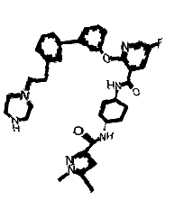 Cc1cc(C(=O)N[C@H]2CC[C@H](NC(=O)c3cc(F)cnc3Oc3cccc(-c4cccc(CCN5CCNCC5)c4)c3)CC2)nn1C